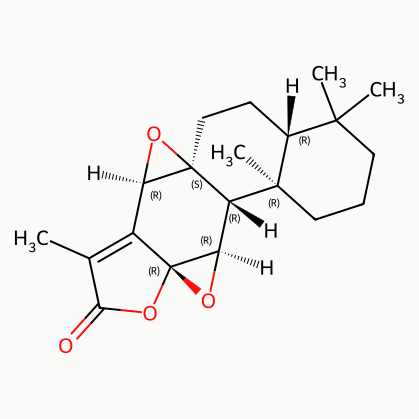 CC1=C2[C@H]3O[C@]34CC[C@@H]3C(C)(C)CCC[C@@]3(C)[C@@H]4[C@H]3O[C@@]23OC1=O